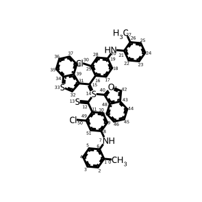 Cc1ccccc1Nc1ccc(C(=S)S(=C(c2ccc(Nc3ccccc3C)cc2Cl)c2csc3ccccc23)c2occ3ccccc23)c(Cl)c1